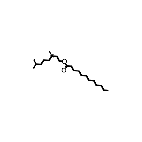 CCCCCCCCCCCC(=O)OCC[C@H](C)CCCC(C)C